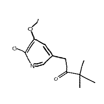 COc1cc(CC(=O)C(C)(C)C)cnc1Cl